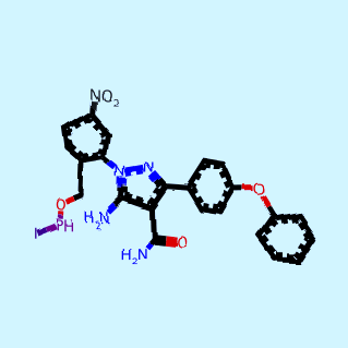 NC(=O)c1c(-c2ccc(Oc3ccccc3)cc2)nn(-c2cc([N+](=O)[O-])ccc2COPI)c1N